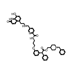 O=C(NCCCOc1cccc(C(C(=O)OCC2CCN(Cc3ccccc3)CC2)c2ccccc2)c1)c1ccc(CNCCc2ccc(O)c3[nH]c(=O)ccc23)cn1